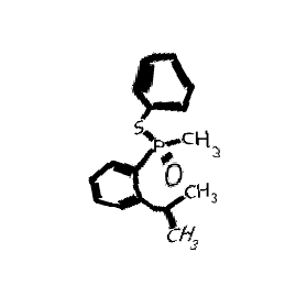 CC(C)c1ccccc1P(C)(=O)Sc1ccccc1